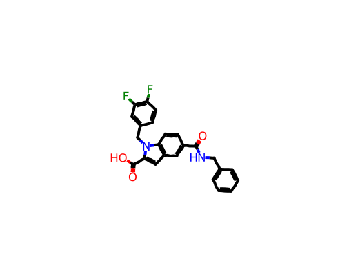 O=C(NCc1ccccc1)c1ccc2c(c1)cc(C(=O)O)n2Cc1ccc(F)c(F)c1